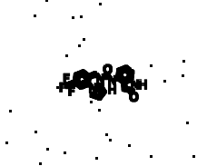 O=C1Cc2c(cccc2NC(=O)NCc2ccc(C(F)(F)F)cc2N2CCCC2)N1